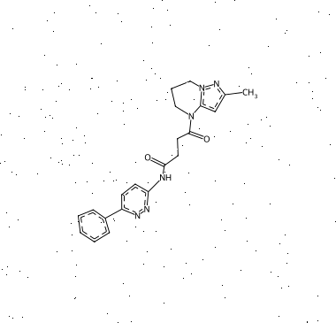 Cc1cc2n(n1)CCCN2C(=O)CCC(=O)Nc1ccc(-c2ccccc2)nn1